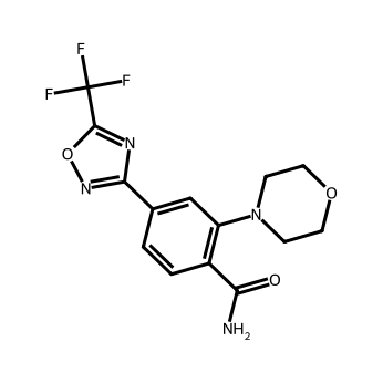 NC(=O)c1ccc(-c2noc(C(F)(F)F)n2)cc1N1CCOCC1